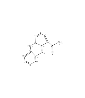 NC(=O)C1=CC=CC2Nc3ccccc3N=C12